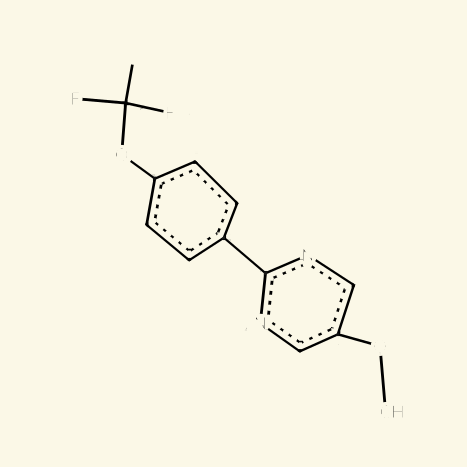 COc1cnc(-c2ccc(OC(F)(F)F)cc2)nc1